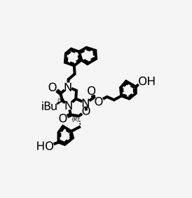 CCC(C)[C@H]1C(=O)N(CCc2cccc3ccccc23)CC2N(C(=O)OCCc3ccc(O)cc3)O[C@H](Cc3ccc(O)cc3)C(=O)N21